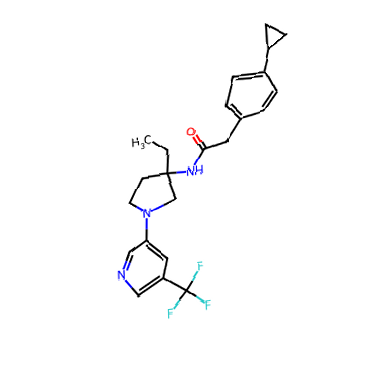 CCC1(NC(=O)Cc2ccc(C3CC3)cc2)CCN(c2cncc(C(F)(F)F)c2)C1